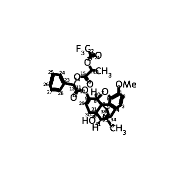 COc1ccc2c3c1O[C@H]1C(OC(=O)[C@@H](OC(=O)C(C)OC(=O)C(F)(F)F)c4ccccc4)=CC[C@@]4(O)[C@@H](C2)N(C)CC[C@]314